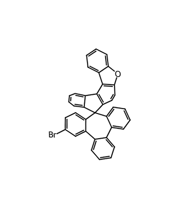 Brc1ccc2c(c1)-c1ccccc1-c1ccccc1C21c2ccccc2-c2c1ccc1oc3ccccc3c21